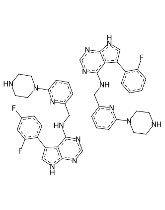 Fc1ccc(-c2c[nH]c3ncnc(NCc4cccc(N5CCNCC5)n4)c23)c(F)c1.Fc1ccccc1-c1c[nH]c2ncnc(NCc3cccc(N4CCNCC4)n3)c12